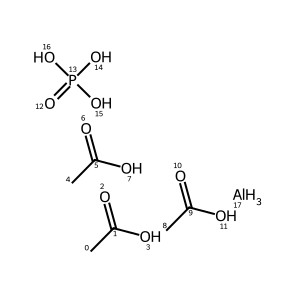 CC(=O)O.CC(=O)O.CC(=O)O.O=P(O)(O)O.[AlH3]